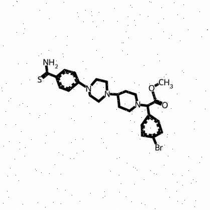 COC(=O)C(c1ccc(Br)cc1)N1CCC(N2CCN(c3ccc(C(N)=S)cc3)CC2)CC1